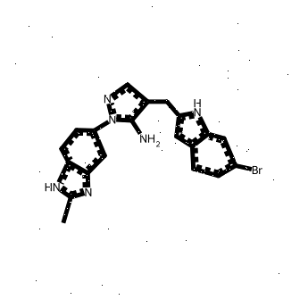 Cc1nc2cc(-n3ncc(Cc4cc5ccc(Br)cc5[nH]4)c3N)ccc2[nH]1